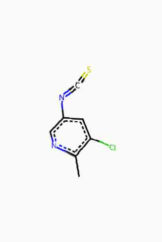 Cc1ncc(N=C=S)cc1Cl